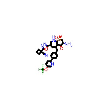 N#CC1(c2nnc(C3=CNC4=C(C(=O)[C@@H](N)CS4(=O)=O)C(Cc4ccc(-c5ccc(OC(F)(F)F)cn5)cc4)=C3)o2)CCC1